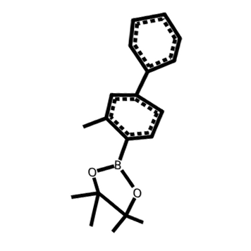 Cc1cc(-c2ccccc2)ccc1B1OC(C)(C)C(C)(C)O1